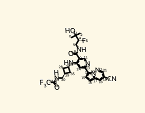 CC(C)(O)[C@H](F)CNC(=O)c1cnc(-c2ccc3cc(C#N)cnn23)cc1N[C@H]1C[C@H](CNC(=O)C(F)(F)F)C1